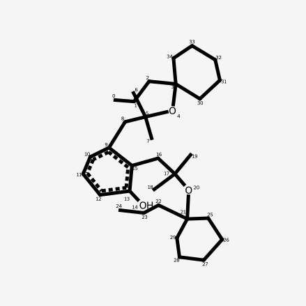 CCCC1(OC(C)(C)Cc2cccc(O)c2CC(C)(C)OC2(CCC)CCCCC2)CCCCC1